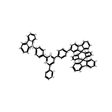 c1ccc(-c2cc(-c3ccc(-c4ccc5c(c4)C4(c6ccccc6-5)c5ccccc5C5(c6ccccc6-c6ccccc65)c5ccccc54)cc3)nc(-c3ccc(-n4c5ccccc5c5ccccc54)cc3)n2)cc1